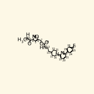 CNC(=O)c1cc(COC(=O)NCCC2CCN(c3cccc(-c4ccc(F)cc4)n3)CC2)on1